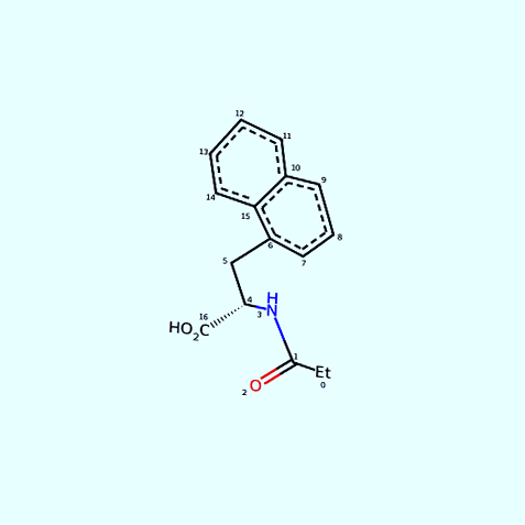 CCC(=O)N[C@@H](Cc1cccc2ccccc12)C(=O)O